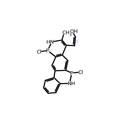 Cc1[nH]p(Cl)c2cc3c4ccccc4[nH]p(Cl)c3cc2c1/C=C\O